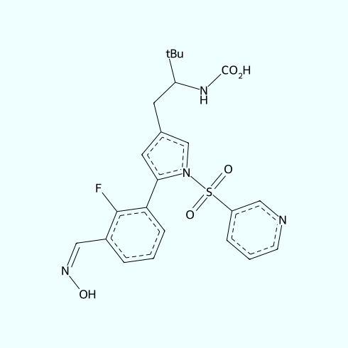 CC(C)(C)C(Cc1cc(-c2cccc(/C=N\O)c2F)n(S(=O)(=O)c2cccnc2)c1)NC(=O)O